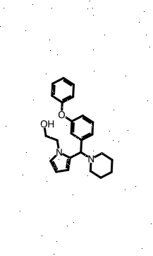 OCCn1cccc1C(c1cccc(Oc2ccccc2)c1)N1CCCCC1